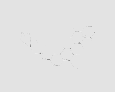 Cc1c(-c2cc3cc(NC(=O)OC4[C@H]5CNC[C@@H]45)ncc3c(N)c2F)cnc2c1NCCO2